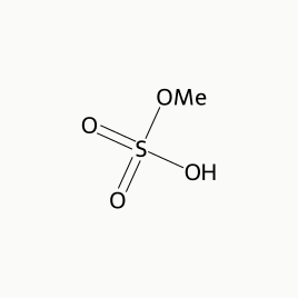 [CH]OS(=O)(=O)O